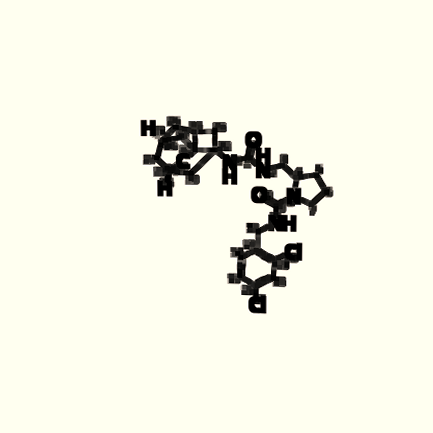 O=C(NCC1CCCN1C(=O)NCc1ccc(Cl)cc1Cl)NC12CC3C[C@@H]4C[C@@H](C1)CC32C4